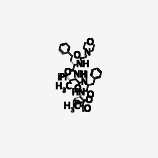 CC(C)C[C@H](NC(=O)[C@H](Cc1ccccc1)NC(=O)[C@@H](NC(=O)[C@H](CCc1ccccc1)NC(=O)CN1CCOCC1)[C@H](C)C(C)C)C(=O)[C@@]1(C)CO1